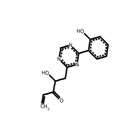 C=CC(=O)C(O)Cc1ncnc(-c2ccccc2O)n1